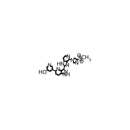 CS(=O)(=O)c1cn(-c2nccc3[nH]c(-c4n[nH]c5ccc(-c6cncc(O)c6)nc45)nc23)cn1